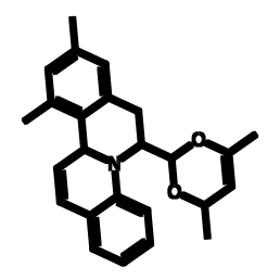 CC1=CC(C)OC(C2Cc3cc(C)cc(C)c3C3C=Cc4ccccc4N32)O1